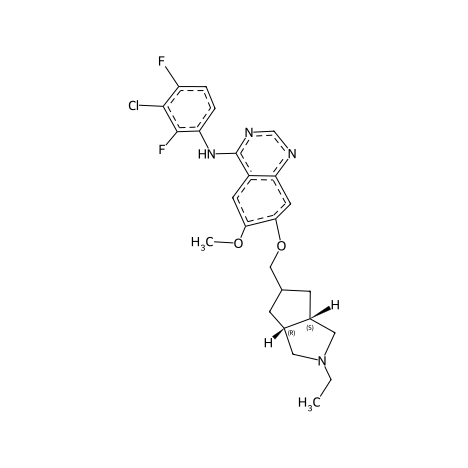 CCN1C[C@H]2CC(COc3cc4ncnc(Nc5ccc(F)c(Cl)c5F)c4cc3OC)C[C@H]2C1